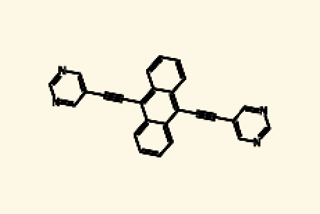 C(#Cc1c2ccccc2c(C#Cc2cncnc2)c2ccccc12)c1cncnc1